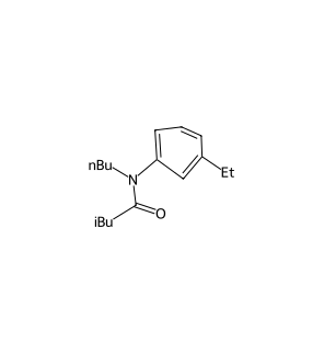 CCCCN(C(=O)C(C)CC)c1cccc(CC)c1